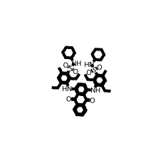 CCc1cc(C)c(S(=O)(=O)NC2CCCCC2)c(CC)c1Nc1ccc(Nc2c(CC)cc(C)c(S(=O)(=O)NC3CCCCC3)c2CC)c2c1C(=O)c1ccccc1C2=O